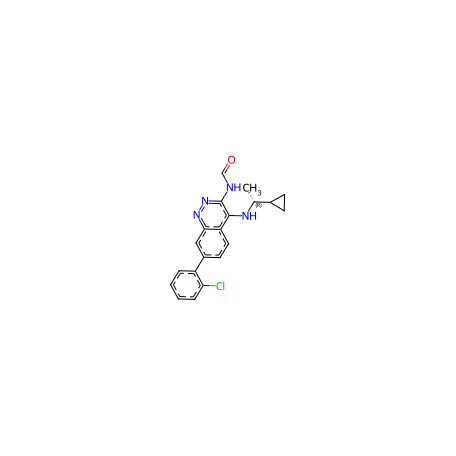 C[C@@H](Nc1c(NC=O)nnc2cc(-c3ccccc3Cl)ccc12)C1CC1